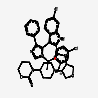 CC(c1ccc(Cl)cc1Cl)n1cnc(-c2ccccc2)c1-c1c(C(=O)NC2COC[C@H]2N2CCC(N3CCCOC3=O)CC2)[nH]c2cc(Cl)ccc12